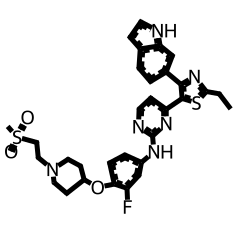 CCc1nc(-c2ccc3cc[nH]c3c2)c(-c2ccnc(Nc3ccc(OC4CCN(CCS(C)(=O)=O)CC4)c(F)c3)n2)s1